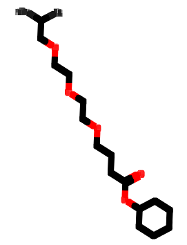 CCCCC(CC)COCCOCCOCCCC(=O)OC1CCCCC1